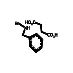 BrNCc1ccccc1.O=C(O)CCC(=O)O